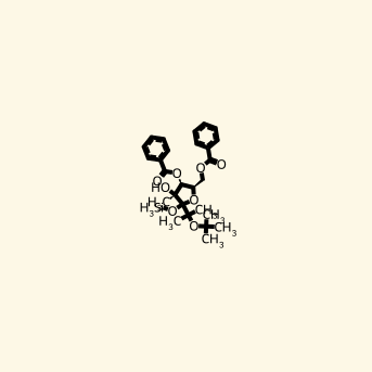 CC(C)(C)OC(C)(C)C1(O[SiH3])O[C@H](COC(=O)c2ccccc2)[C@@H](OC(=O)c2ccccc2)[C@]1(C)O